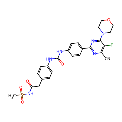 CS(=O)(=O)NC(=O)Cc1ccc(NC(=O)Nc2ccc(-c3nc(C#N)c(F)c(N4CCOCC4)n3)cc2)cc1